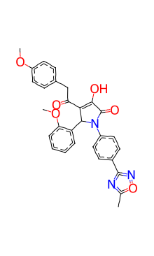 COc1ccc(CC(=O)C2=C(O)C(=O)N(c3ccc(-c4noc(C)n4)cc3)C2c2ccccc2OC)cc1